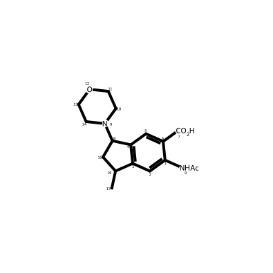 CC(=O)Nc1cc2c(cc1C(=O)O)C(N1CCOCC1)CC2C